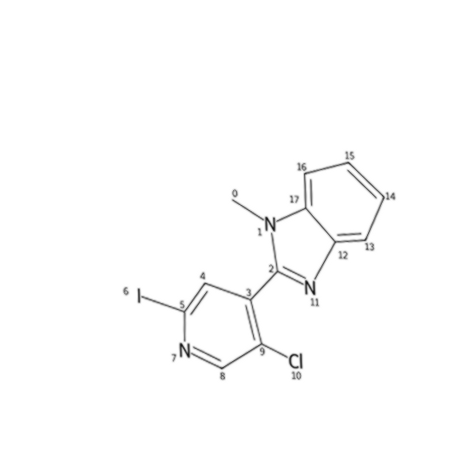 Cn1c(-c2cc(I)ncc2Cl)nc2ccccc21